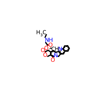 CCCNCC(=O)O[C@]1(CC)C(=O)OCc2c1cc1n(c2=O)Cc2cc3ccccc3nc2-1